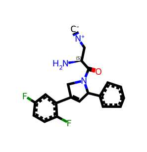 [C-]#[N+]C[C@H](N)C(=O)N1CC(c2cc(F)ccc2F)=CC1c1ccccc1